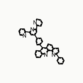 c1ccc(-c2ccc3ccc4c(-c5ccc(-c6cc(-c7ccccn7)nc(-c7ccccn7)c6)cc5)c5ccccc5nc4c3n2)cc1